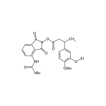 CCCCC(=O)Nc1cccc2c1C(=O)N(OC(=O)CC(C)c1ccc(OC)c(OCC)c1)C2=O